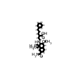 CCC1(CC)c2cc(C(N)=O)ccc2C[C@H](OC)[C@H]1NCCC(CCCc1ccccc1)C(=O)O